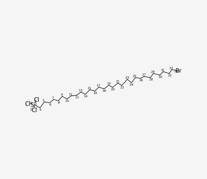 Cl[Si](Cl)(Cl)CCCCCCCCCCCCCCCCCCCCCCCCCCCCCCBr